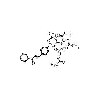 CC(=O)OC[C@H]1O[C@H](Oc2ccc(/C=C/C(=O)c3ccccc3)cc2)[C@@H](OC(C)=O)[C@@H](OC(C)=O)[C@@H]1OC(C)=O